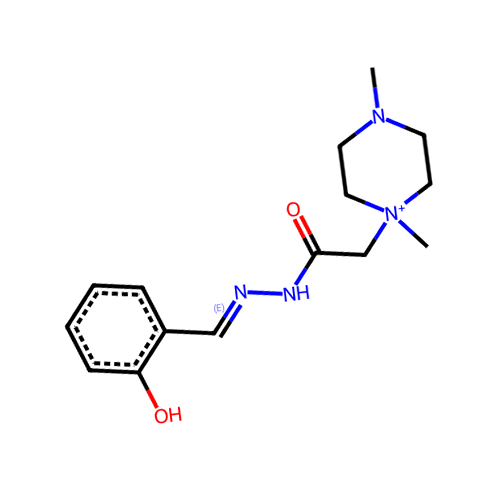 CN1CC[N+](C)(CC(=O)N/N=C/c2ccccc2O)CC1